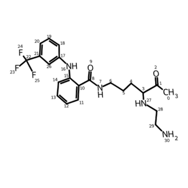 CC(=O)C(CCCNC(=O)c1ccccc1Nc1cccc(C(F)(F)F)c1)NCCN